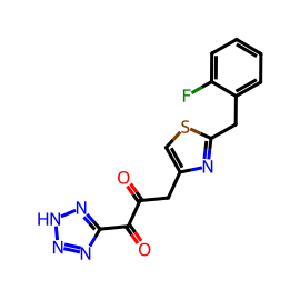 O=C(Cc1csc(Cc2ccccc2F)n1)C(=O)c1nn[nH]n1